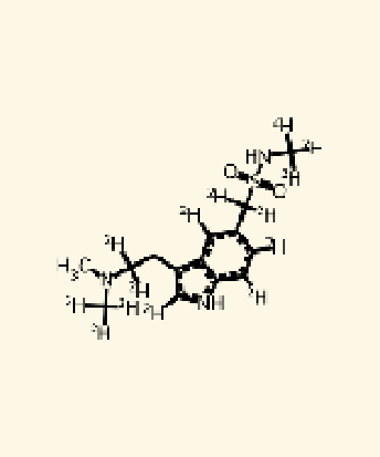 [2H]c1[nH]c2c([2H])c([2H])c(C([2H])([2H])S(=O)(=O)NC([2H])([2H])[2H])c([2H])c2c1CC([2H])([2H])N(C)C([2H])([2H])[2H]